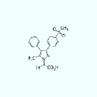 CCC(C(=O)O)n1nc(-c2ccc(S(C)(=O)=O)cc2)c(-c2ccccc2)c1C(F)(F)F